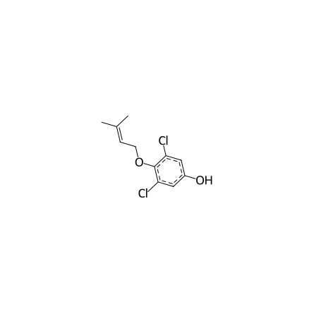 CC(C)=CCOc1c(Cl)cc(O)cc1Cl